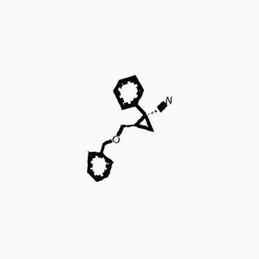 N#C[C@]1(c2ccccc2)C[C@H]1COCc1ccccc1